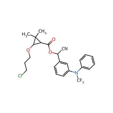 CC1(C)C(OCCCCl)C1C(=O)OC(C#N)c1cccc(N(c2ccccc2)C(F)(F)F)c1